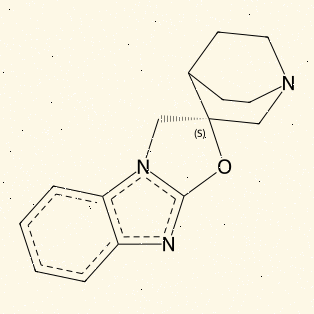 c1ccc2c(c1)nc1n2C[C@]2(CN3CCC2CC3)O1